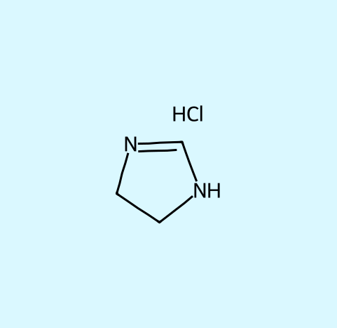 C1=NCCN1.Cl